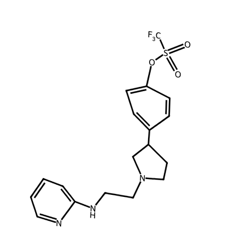 O=S(=O)(Oc1ccc(C2CCN(CCNc3ccccn3)C2)cc1)C(F)(F)F